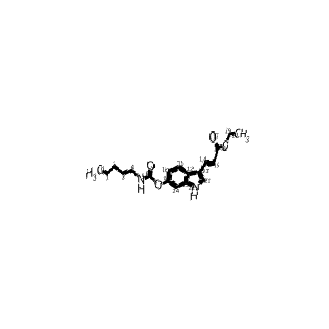 CCCCCNC(=O)Oc1ccc2c(C=CC(=O)OCC)c[nH]c2c1